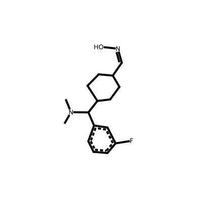 CN(C)C(c1cccc(F)c1)C1CCC(/C=N\O)CC1